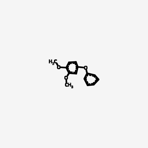 COc1ccc(Oc2ccccc2)cc1OC